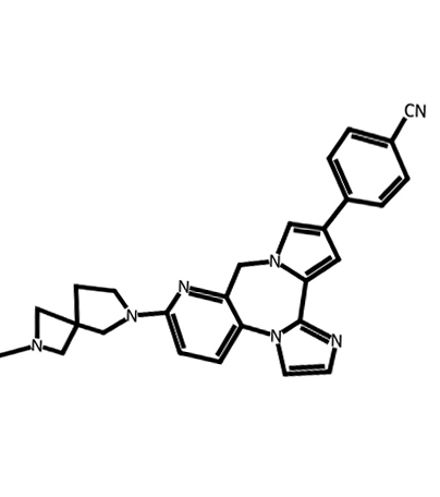 CN1CC2(CCN(c3ccc4c(n3)Cn3cc(-c5ccc(C#N)cc5)cc3-c3nccn3-4)C2)C1